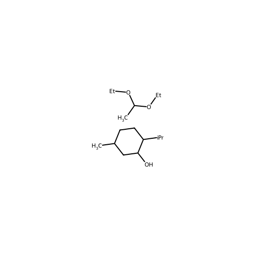 CC1CCC(C(C)C)C(O)C1.CCOC(C)OCC